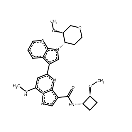 CNc1cc(-c2cn([C@H]3CCOC[C@@H]3OC)c3ncccc23)nc2c(C(=O)N[C@H]3CC[C@@H]3OC)cnn12